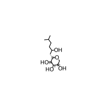 CC(C)CCC(O)C[C@@H]1OC[C@@H](O)[C@H](O)[C@H]1O